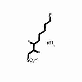 N.O=S(=O)(O)CC(F)C(F)CCCCCF